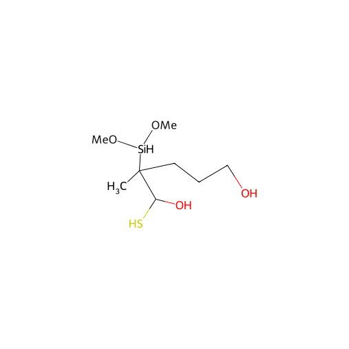 CO[SiH](OC)C(C)(CCCO)C(O)S